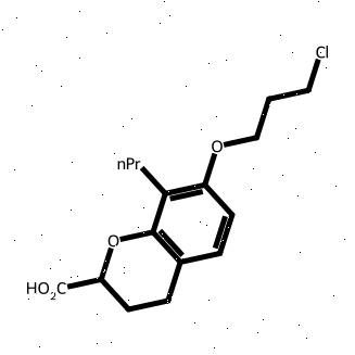 CCCc1c(OCCCCl)ccc2c1OC(C(=O)O)CC2